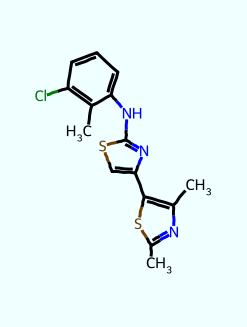 Cc1nc(C)c(-c2csc(Nc3cccc(Cl)c3C)n2)s1